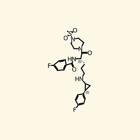 CS(=O)(=O)N1CCN(C(=O)[C@H](CCCNC2C[C@H]2c2ccc(F)cc2)NC(=O)c2ccc(F)cc2)CC1